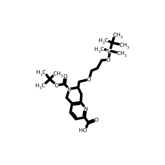 CC(C)(C)OC(=O)N1Cc2ccc(C(=O)O)nc2CC1COCCCO[Si](C)(C)C(C)(C)C